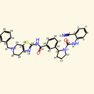 N#Cc1ccccc1NC(=O)N1CCCC1c1cccc(C(=O)Nc2nc3c(s2)CN(Cc2ccccc2)CC3)c1